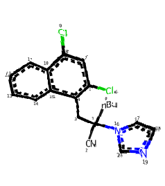 CCCCC(C#N)(Cc1c(Cl)cc(Cl)c2ccccc12)n1ccnc1